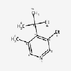 CCc1cncc(C)c1C(C)(C)CC